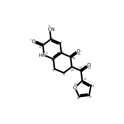 N#Cc1cc2c([nH]c1=O)CCC(C(=O)c1ccco1)C2=O